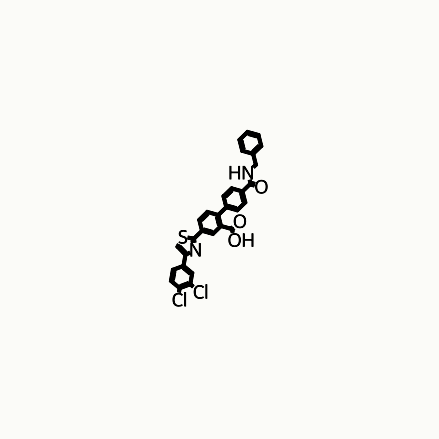 O=C(NCc1ccccc1)c1ccc(-c2ccc(-c3nc(-c4ccc(Cl)c(Cl)c4)cs3)cc2C(=O)O)cc1